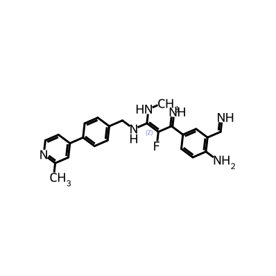 CN/C(NCc1ccc(-c2ccnc(C)c2)cc1)=C(/F)C(=N)c1ccc(N)c(C=N)c1